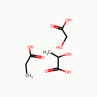 CC(O)C(=O)O.CCC(=O)O.O=C(O)CO